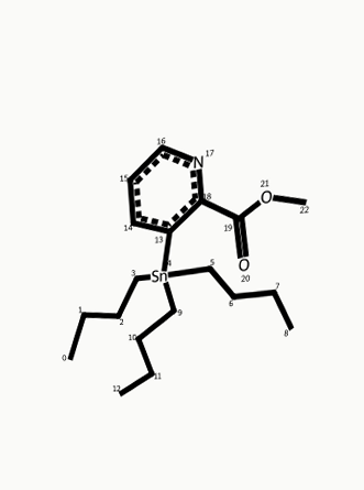 CCC[CH2][Sn]([CH2]CCC)([CH2]CCC)[c]1cccnc1C(=O)OC